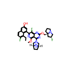 CCc1c(F)ccc2cc(O)cc(-c3nc(OC)c4c(N5C[C@H]6CC[C@@H](C5)N6)nc(OC[C@@]56CCCN5C[C@H](F)C6)nc4c3F)c12